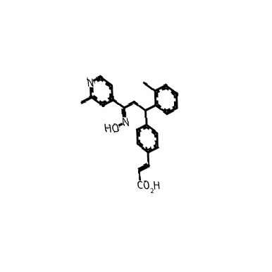 Cc1cc(C(CC(c2ccc(C=CC(=O)O)cc2)c2ccccc2C)=NO)ccn1